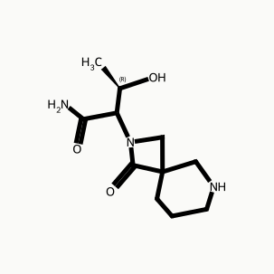 C[C@@H](O)C(C(N)=O)N1CC2(CCCNC2)C1=O